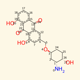 N[C@@H]1C[C@@H](OCc2cc(O)c3c(c2)C(=O)c2cccc(O)c2C3=O)CC[C@@H]1O